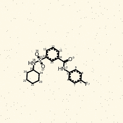 O=C(Nc1ccc(F)cc1)c1cccc(S(=O)(=O)NC2CCCCC2)c1